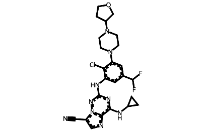 N#Cc1cnc2c(NC3CC3)nc(Nc3cc(C(F)F)cc(N4CCN(C5CCOC5)CC4)c3Cl)nn12